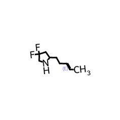 C/C=C/CCC1CC(F)(F)CN1